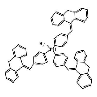 C[PH](c1ccc(C=C2c3ccccc3Cc3ccccc32)cc1)(c1ccc(C=C2c3ccccc3Cc3ccccc32)cc1)c1ccc(C=C2c3ccccc3Cc3ccccc32)cc1